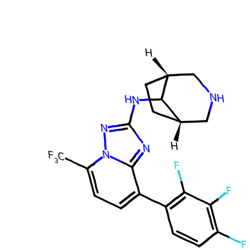 Fc1ccc(-c2ccc(C(F)(F)F)n3nc(NC4[C@@H]5CC[C@H]4CNC5)nc23)c(F)c1F